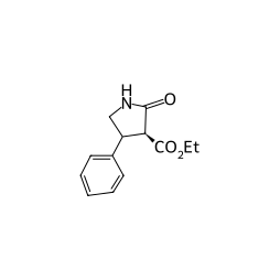 CCOC(=O)[C@@H]1C(=O)NCC1c1ccccc1